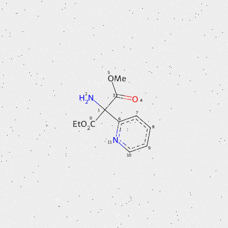 CCOC(=O)C(N)(C(=O)OC)c1ccccn1